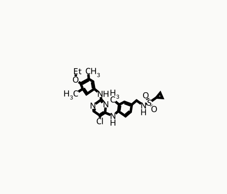 CCOc1c(C)cc(Nc2ncc(Cl)c(Nc3ccc(CNS(=O)(=O)C4CC4)cc3C)n2)cc1C